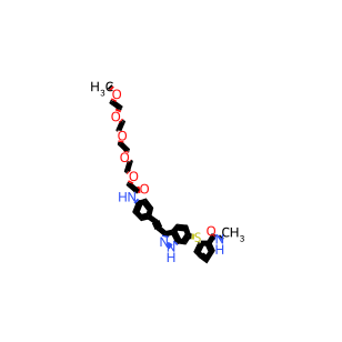 CNC(=O)c1ccccc1Sc1ccc2c(C#Cc3ccc(NC(=O)COCCOCCOCCOCCOC)cc3)n[nH]c2c1